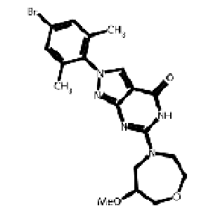 COC1COCCN(c2nc3nn(-c4c(C)cc(Br)cc4C)cc3c(=O)[nH]2)C1